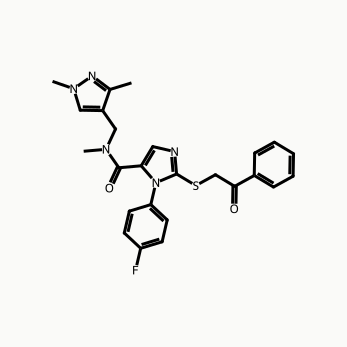 Cc1nn(C)cc1CN(C)C(=O)c1cnc(SCC(=O)c2ccccc2)n1-c1ccc(F)cc1